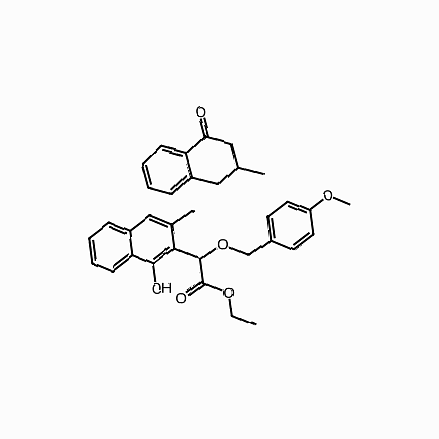 CC1CC(=O)c2ccccc2C1.CCOC(=O)C(OCc1ccc(OC)cc1)c1c(C)cc2ccccc2c1O